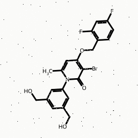 Cc1cc(OCc2ccc(F)cc2F)c(Br)c(=O)n1-c1cc(CO)cc(CO)c1